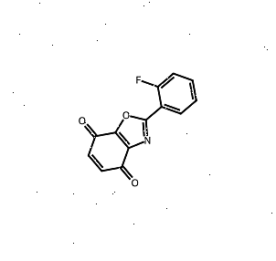 O=C1C=CC(=O)c2oc(-c3ccccc3F)nc21